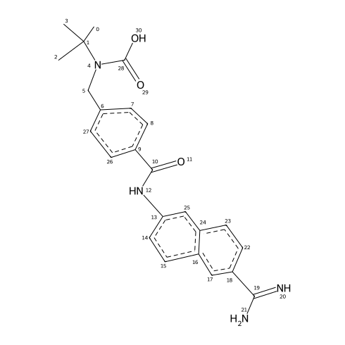 CC(C)(C)N(Cc1ccc(C(=O)Nc2ccc3cc(C(=N)N)ccc3c2)cc1)C(=O)O